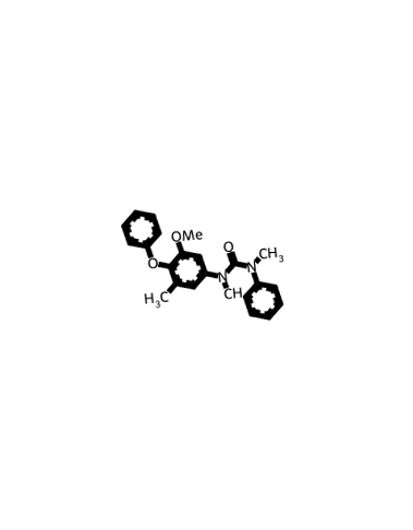 COc1cc(N(C)C(=O)N(C)c2ccccc2)cc(C)c1Oc1ccccc1